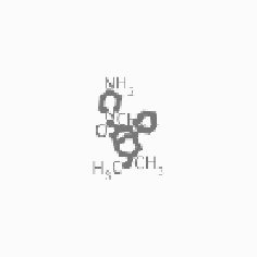 CCC1(C)CC2CC(C)(C(=O)N3CCC(N)CC3)CC(c3ccccc3)(C2)C1